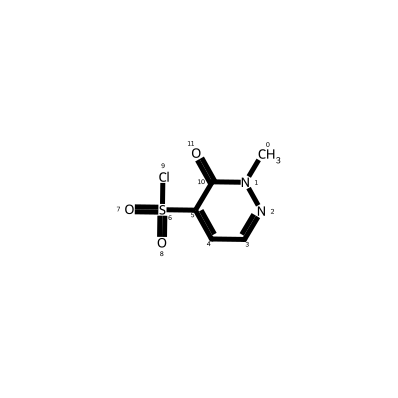 Cn1nccc(S(=O)(=O)Cl)c1=O